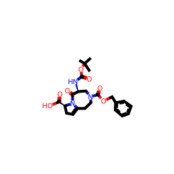 CC(C)(C)OC(=O)N[C@H]1CN(C(=O)OCc2ccccc2)CCC2=CC[C@@H](C(=O)O)N2C1=O